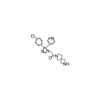 O=C(Cn1cnc(-c2ccc(Cl)cc2)c1-c1ccncc1)N1CCC2(CNC2)C1